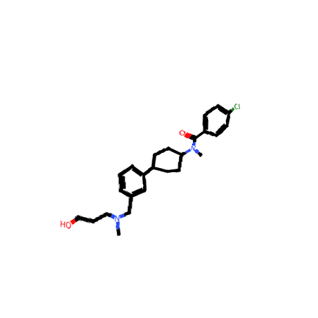 CN(CCCO)Cc1cccc(C2CCC(N(C)C(=O)c3ccc(Cl)cc3)CC2)c1